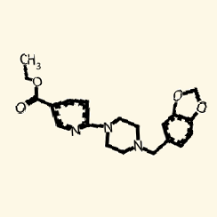 CCOC(=O)c1ccc(N2CCN(Cc3ccc4c(c3)OCO4)CC2)nc1